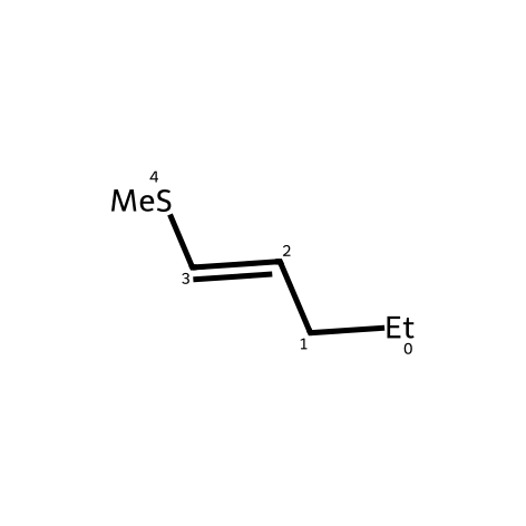 CCCC=CSC